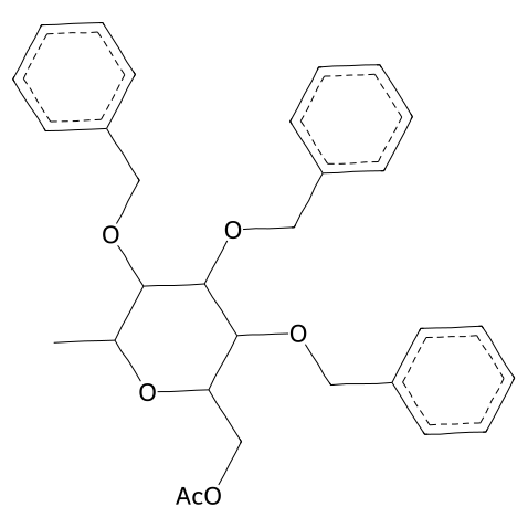 CC(=O)OCC1OC(C)C(OCc2ccccc2)C(OCc2ccccc2)C1OCc1ccccc1